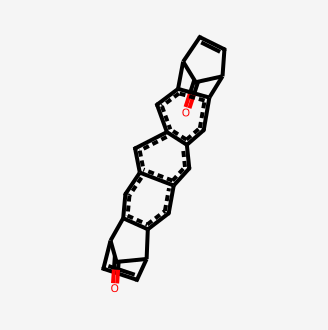 O=C1C2C=CC1c1cc3cc4cc5c(cc4cc3cc12)C1C=CC5C1=O